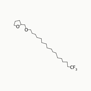 FC(F)(F)CCCCCCCCCCCCCCCCOCC1CCCO1